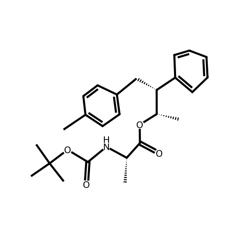 Cc1ccc(C[C@H](c2ccccc2)[C@H](C)OC(=O)[C@H](C)NC(=O)OC(C)(C)C)cc1